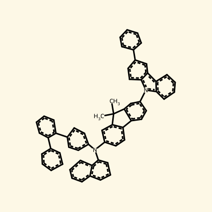 CC1(C)c2cc(N(c3ccc(-c4ccccc4-c4ccccc4)cc3)c3cccc4ccccc34)ccc2-c2ccc(-n3c4ccccc4c4cc(-c5ccccc5)ccc43)cc21